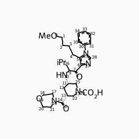 COCCCCc1c(C(=O)C(N[C@H]2C[C@@H](C(=O)N3CCOCC3)CN(C(=O)O)C2)C(C)C)ncn1-c1ccccc1